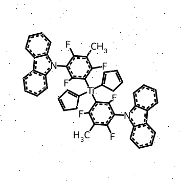 Cc1c(F)c(-n2c3ccccc3c3ccccc32)c(F)[c]([Ti]([C]2=CC=CC2)([C]2=CC=CC2)[c]2c(F)c(C)c(F)c(-n3c4ccccc4c4ccccc43)c2F)c1F